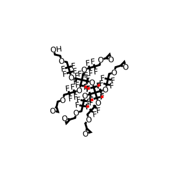 OCCOCC(F)(F)C(F)(F)OC(F)(F)C(C(F)(F)OC(F)(F)C(F)(F)COCC1CO1)(C(F)(F)OC(F)(F)C(F)(F)COC1CO1)C(F)(F)OC(F)(F)C(C(F)(F)OC(F)(F)C(F)(F)COCC1CO1)(C(F)(F)OC(F)(F)C(F)(F)COCC1CO1)C(F)(F)OC(F)(F)C(F)(F)COCC1CO1